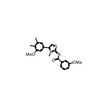 COc1cccc(C(=O)/N=c2/scc(-c3cc(C)c(C)c(OC)c3)n2C)c1